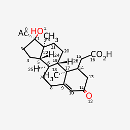 CC(=O)[C@@]1(O)CC[C@H]2[C@@H]3CCC4=CC(=O)CC(CC(=O)O)[C@]4(C)[C@H]3CC[C@@]21C